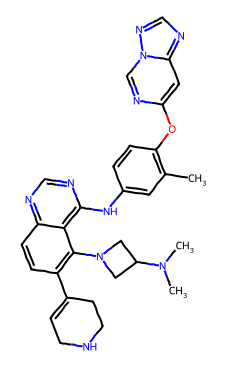 Cc1cc(Nc2ncnc3ccc(C4=CCNCC4)c(N4CC(N(C)C)C4)c23)ccc1Oc1cc2ncnn2cn1